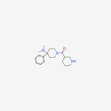 CN(C)C1(c2ccccc2)CCN(C(=O)C2CCCNC2)CC1